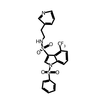 O=S(=O)(NCCc1cccnc1)c1cn(S(=O)(=O)c2ccccc2)c2cccc(C(F)(F)F)c12